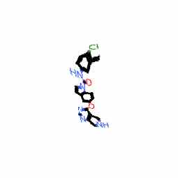 Cc1cc(NC(=O)n2ccc3cc(Oc4ncnc5c4CNC5)ccc32)ccc1Cl